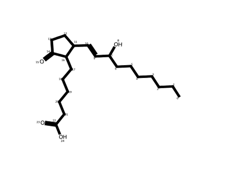 CCCCCCCC(O)/C=C/C1CCC(=O)C1CCCCCC(=O)O